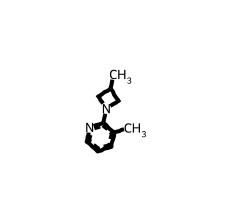 Cc1cccnc1N1CC(C)C1